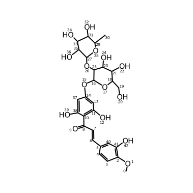 COc1ccc(/C=C/C(=O)c2c(O)cc(OC3OC(CO)C(O)C(O)C3OC3OC(C)C(O)C(O)C3O)cc2O)cc1O